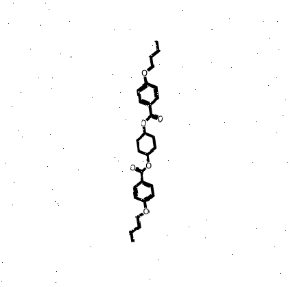 CCCCOc1ccc(C(=O)OC2CCC(OC(=O)c3ccc(OCCCC)cc3)CC2)cc1